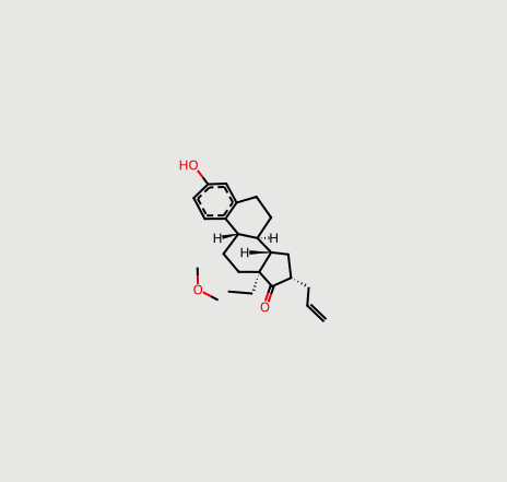 C=CC[C@H]1C[C@H]2[C@@H]3CCc4cc(O)ccc4[C@H]3CC[C@]2(CC)C1=O.COC